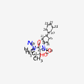 CC(C)CC(C(=O)N(C)C#N)N(C(=O)O)c1ccc(-c2ccccc2)cc1